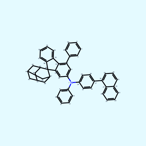 c1ccc(-c2cc(N(c3ccccc3)c3ccc(-c4cccc5ccccc45)cc3)cc3c2-c2ccccc2C32C3CC4CC(C3)CC2C4)cc1